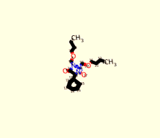 CCCCOCN1C(=O)C(c2ccccc2)[N+](=O)N1COCCCC